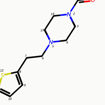 O=CN1CCN(CCc2cccs2)CC1